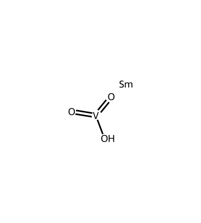 [O]=[V](=[O])[OH].[Sm]